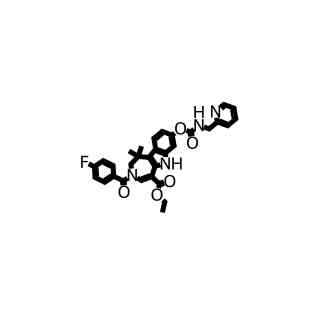 CCOC(=O)C1=CN(C(=O)c2ccc(F)cc2)CC(C)(C)c2c1[nH]c1cc(OC(=O)NCc3ccccn3)ccc21